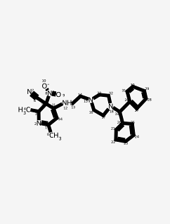 CC1=NC(C)C(C#N)([N+](=O)[O-])C(NCCN2CCN(C(c3ccccc3)c3ccccc3)CC2)=C1